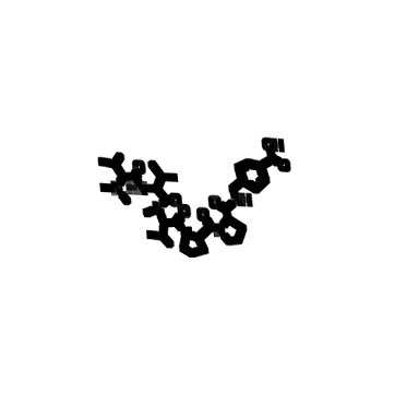 CC(C)C(NC(=O)C(C(C)C)N(C)C)C(=O)N(C)C(C(=O)N1CCCC1C(=O)N1CCCC1C(=O)NCc1ccc(C(=O)O)cc1)C(C)C